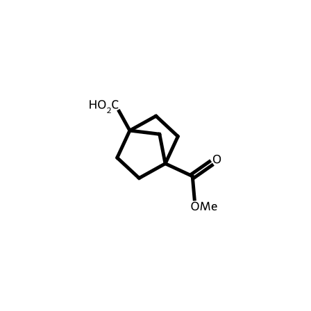 COC(=O)C12CCC(C(=O)O)(CC1)C2